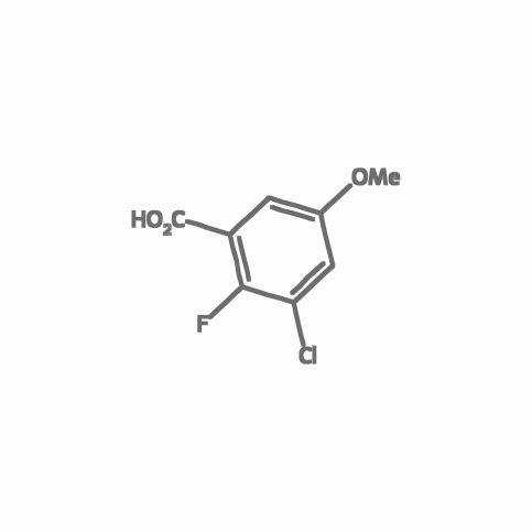 COc1cc(Cl)c(F)c(C(=O)O)c1